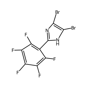 Fc1c(F)c(F)c(-c2nc(Br)c(Br)[nH]2)c(F)c1F